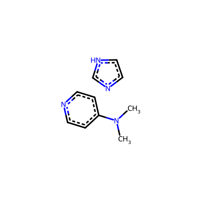 CN(C)c1ccncc1.c1c[nH]cn1